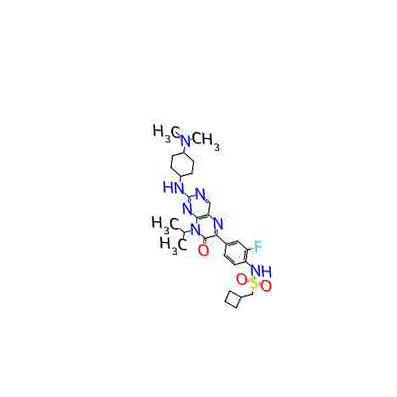 CC(C)n1c(=O)c(-c2ccc(NS(=O)(=O)CC3CCC3)c(F)c2)nc2cnc(NC3CCC(N(C)C)CC3)nc21